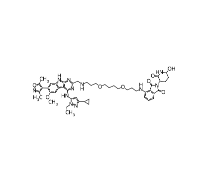 CCn1nc(C2CC2)cc1Nc1nc(CNCCCOCCCCOCCCNc2cccc3c2C(=O)N(C2CCC(O)NC2=O)C3=O)nc2[nH]c3cc(-c4c(C)noc4C)c(OC)cc3c12